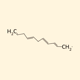 [CH2]/C=C/C=C/C/C=C/CC=C